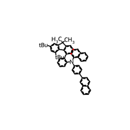 CC(C)(C)c1cc(C(C)(C)C)c2c(c1)C(C)(C)c1cccc(-c3ccccc3N(c3ccc(-c4ccc5ccccc5c4)cc3)c3cccc4ccccc34)c1-2